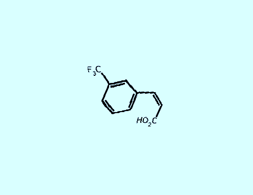 O=C(O)/C=C\c1cccc(C(F)(F)F)c1